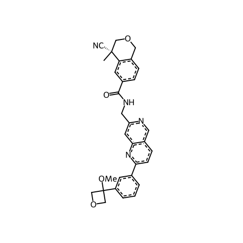 COC1(c2cccc(-c3ccc4cnc(CNC(=O)c5ccc6c(c5)[C@](C)(C#N)COC6)cc4n3)c2)COC1